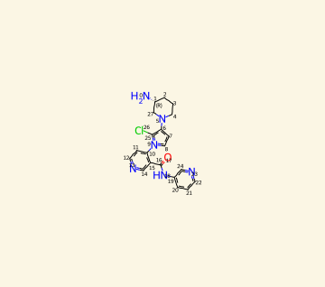 N[C@@H]1CCCN(c2ccn(-c3ccncc3C(=O)Nc3cccnc3)c2Cl)C1